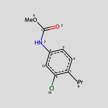 COC(=O)Nc1ccc(C(C)C)c(Cl)c1